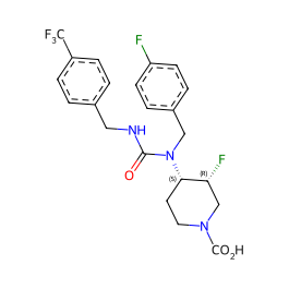 O=C(O)N1CC[C@H](N(Cc2ccc(F)cc2)C(=O)NCc2ccc(C(F)(F)F)cc2)[C@H](F)C1